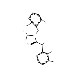 OC(C1=NOC(O)N1Cc1c(F)cccc1Cl)c1cccc(Cl)c1Cl